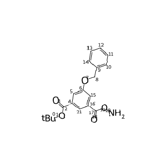 CC(C)(C)OC(=O)c1cc(OCc2ccccc2)cc(C(=O)ON)c1